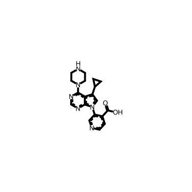 O=C(O)c1ccncc1-n1cc(C2CC2)c2c(N3CCNCC3)ncnc21